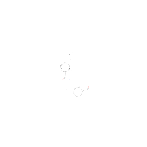 Cc1cc(OC(F)(F)F)ccc1C(=O)NC1CCc2ccc(C(=O)O)cc21